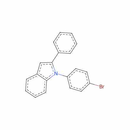 Brc1ccc(-n2c(-c3ccccc3)cc3ccccc32)cc1